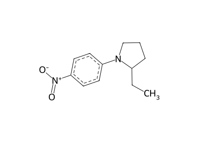 CCC1CCCN1c1ccc([N+](=O)[O-])cc1